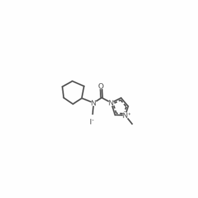 CN(C(=O)n1cc[n+](C)c1)C1CCCCC1.[I-]